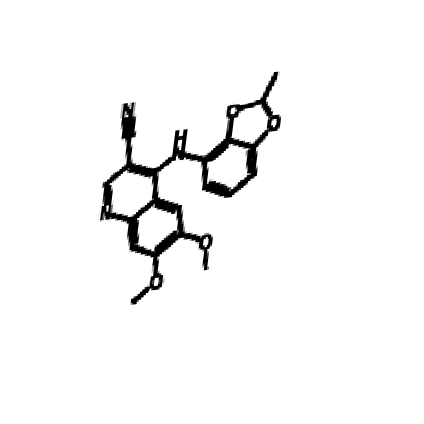 COc1cc2ncc(C#N)c(Nc3cccc4c3OC(C)O4)c2cc1OC